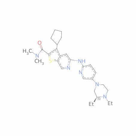 CC[C@H]1CN(c2ccc(Nc3cc4c(C5CCCC5)c(C(=O)N(C)C)sc4cn3)nc2)CCN1CC